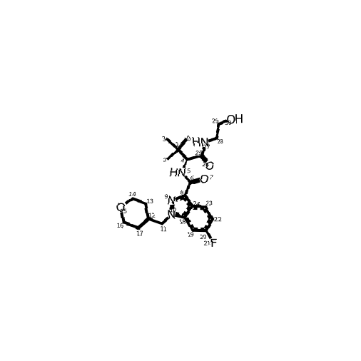 CC(C)(C)[C@H](NC(=O)c1nn(CC2CCOCC2)c2cc(F)ccc12)C(=O)NCCO